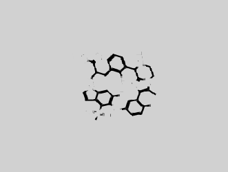 Cc1c(-c2cc(Oc3c(F)cc4[nH]ccc4c3S(C)(=O)=O)ccc2F)nc2n1CCNC2c1cccc(CC(C)C(=O)O)c1F